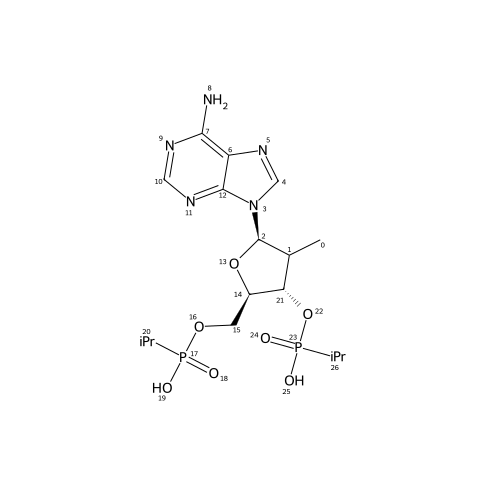 CC1[C@H](n2cnc3c(N)ncnc32)O[C@H](COP(=O)(O)C(C)C)[C@H]1OP(=O)(O)C(C)C